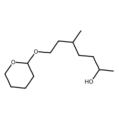 CC(O)CCC(C)CCOC1CCCCO1